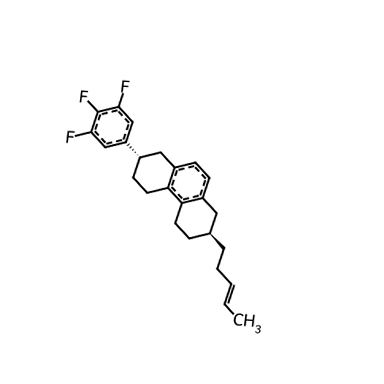 C/C=C/CC[C@H]1CCc2c(ccc3c2CC[C@H](c2cc(F)c(F)c(F)c2)C3)C1